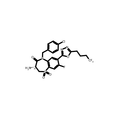 N[C@H]1CS(=O)(=O)c2cc(F)c(-c3nnc(CCCC(F)(F)F)o3)cc2N(Cc2ccc(Cl)cc2)C1=O